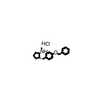 CN[C@H]1CCC[C@H]1Cc1ccc(OCc2ccccc2)cc1.Cl